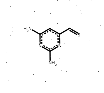 Nc1cc(C=S)nc(N)n1